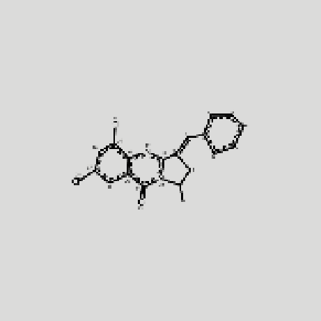 CC1CC(=Cc2ccccc2)c2nc3c(Cl)cc(Cl)cc3c(=O)n21